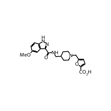 COc1ccc2[nH]nc(C(=O)NCC3CCN(Cc4ccc(C(=O)O)o4)CC3)c2c1